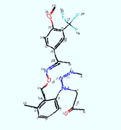 C/N=N\N(CC(C)=O)c1cccc(C)c1CON=C(C)c1ccc(OC)c(C(F)(F)F)c1